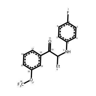 CCC(Nc1ccc(F)cc1)C(=O)c1cccc(OC(F)(F)F)c1